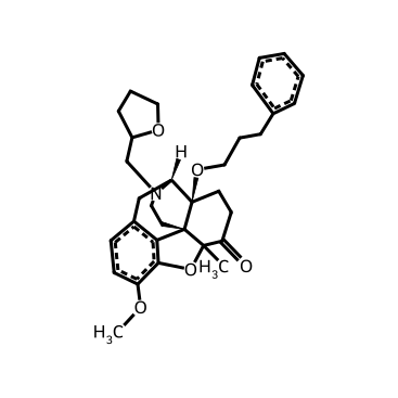 COc1ccc2c3c1OC1(C)C(=O)CC[C@@]4(OCCCc5ccccc5)[C@@H](C2)N(CC2CCCO2)CC[C@]314